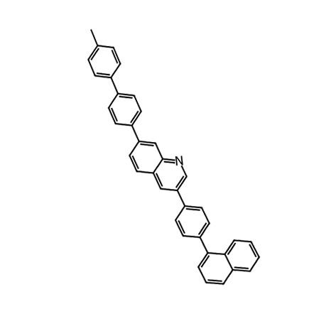 Cc1ccc(-c2ccc(-c3ccc4cc(-c5ccc(-c6cccc7ccccc67)cc5)cnc4c3)cc2)cc1